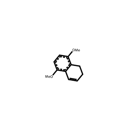 COc1ccc(OC)c2c1C=CCC2